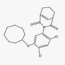 O=C1C2=CC(CCC2)C(=O)N1c1cc(OC2CCCCCCC2)c(Cl)cc1Cl